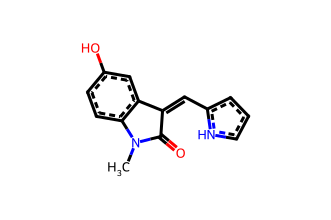 CN1C(=O)/C(=C\c2ccc[nH]2)c2cc(O)ccc21